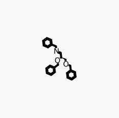 C(=NCc1ccccc1)[C@@H](COCc1ccccc1)OCc1ccccc1